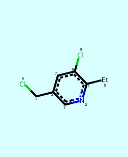 CCc1ncc(CCl)cc1Cl